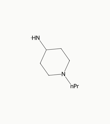 CCCN1CCC([NH])CC1